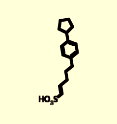 O=S(=O)(O)C=CCCCc1ccc(C2CCCC2)cc1